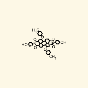 Cc1ccc(Oc2cc3c4c(ccc5c6c(Oc7ccc(C)cc7)cc7c8c(ccc(c2c45)c86)C(=O)N(c2ccc(O)cc2)C7=O)C(=O)N(c2ccc(O)cc2)C3=O)cc1